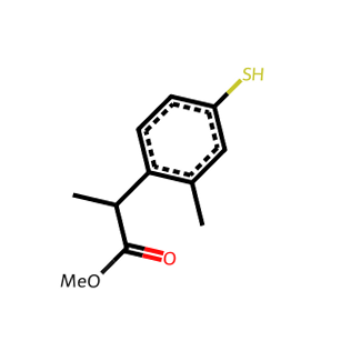 COC(=O)C(C)c1ccc(S)cc1C